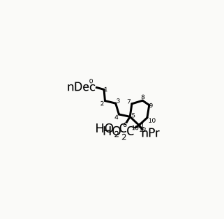 CCCCCCCCCCCCCCC1(C(=O)O)CCCCC1(CCC)C(=O)O